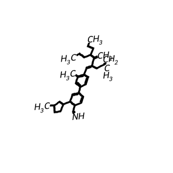 C=C(C)C/C(=C\c1ccc(C2=CC(C3CCC(C)C3)C(C=N)C=C2)cc1C)C(=C)C(CCC)CCC